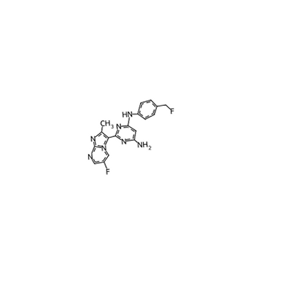 Cc1nc2ncc(F)cn2c1-c1nc(N)cc(Nc2ccc(CF)cc2)n1